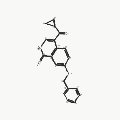 O=C(c1c[nH]c(=O)c2cc(SCc3ccccc3)ccc12)C1CC1